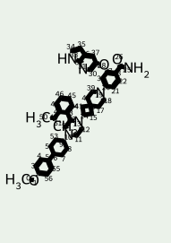 COc1ccc(C2CCC(N3CCN(C4CC5(CCN(c6ccc(C(N)=O)c(Oc7cnc8[nH]ccc8c7)c6)CC5)C4)C(c4ccccc4C(C)C)C3)CC2)cc1